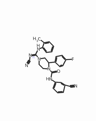 Cc1ccccc1N/C(=N/C#N)N1CCN(C(=O)Nc2cccc(C#N)c2)C(c2ccc(F)cc2)C1